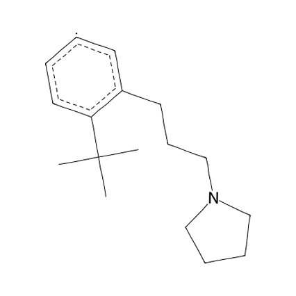 CC(C)(C)c1cc[c]cc1CCCN1CCCC1